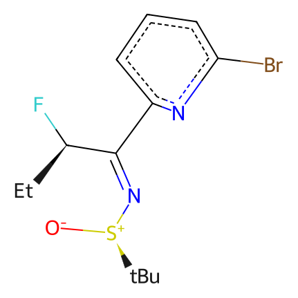 CC[C@@H](F)C(=N[S@+]([O-])C(C)(C)C)c1cccc(Br)n1